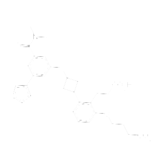 CN(C)C(=O)c1cc(OC2CC(c3cccc(OCCCC(=O)O)c3CCC(=O)O)C2)cc(-c2ccsc2)c1